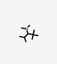 CC(C)C(N(C)C)C(C)(C)C